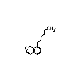 [CH2]CCCCCc1cccc2c1COC=C2